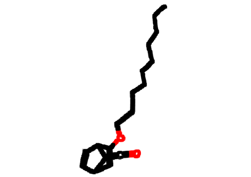 CCCCCCCCCCOC1=CC2C=CC1C2=C=O